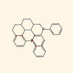 c1ccc(P(CC2CCC3CCCCC3C2CP(c2ccccc2)c2ccccc2)c2ccccc2)cc1